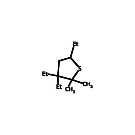 CCC1CC(CC)(CC)C(C)(C)S1